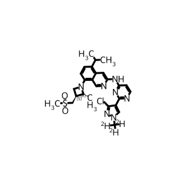 [2H]C([2H])([2H])n1cc(-c2nccc(Nc3cc4c(C(C)C)ccc(N5C[C@H](CS(C)(=O)=O)[C@H]5C)c4cn3)n2)c(Cl)n1